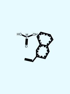 C=Cc1ccc2ccccc2c1.O=[PH](O)O